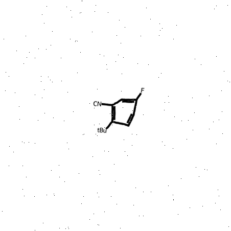 [C-]#[N+]c1cc(F)ccc1C(C)(C)C